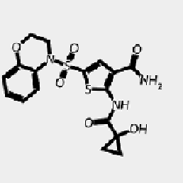 NC(=O)c1cc(S(=O)(=O)N2CCOc3ccccc32)sc1NC(=O)C1(O)CC1